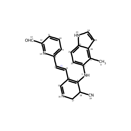 Cc1c(NC2=C(/C=C/c3cccc(C=O)n3)C=NCC2C#N)ccc2[nH]ccc12